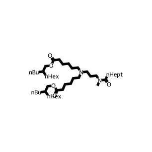 CCCCCCCC(=O)N(C)CCCN(CCCCCC(=O)OCC(CCCC)CCCCCC)CCCCCC(=O)OCC(CCCC)CCCCCC